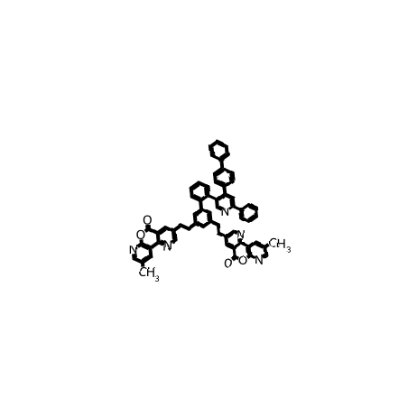 Cc1cnc2oc(=O)c3cc(CCc4cc(CCc5cnc6c(c5)c(=O)oc5ncc(C)cc56)cc(-c5ccccc5-c5cnc(-c6ccccc6)cc5-c5ccc(-c6ccccc6)cc5)c4)cnc3c2c1